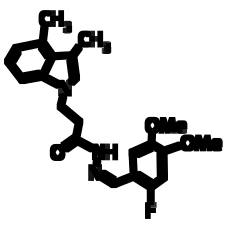 COc1cc(F)c(/C=N\NC(=O)CCn2cc(C)c3c(C)cccc32)cc1OC